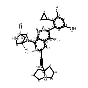 Oc1cc(Cl)c(C2CC2)c(-c2nnc3c(N4C[C@H]5C[C@@H]4CN5)nc(C#CC45CCCN4CCC5)nc3c2F)c1